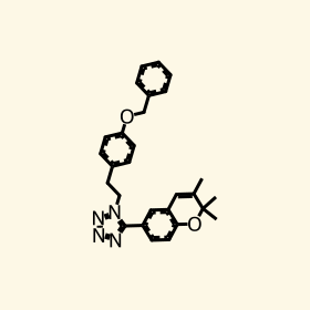 CC1=Cc2cc(-c3nnnn3CCc3ccc(OCc4ccccc4)cc3)ccc2OC1(C)C